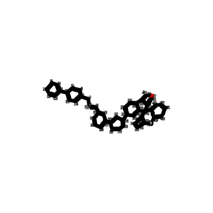 C(=N\Cc1ccc(-c2ccccc2)cc1)/c1cccc(-c2cccc(-c3ccc4c(c3)C3(c5ccccc5Oc5ccccc53)c3ccccc3-4)c2)c1